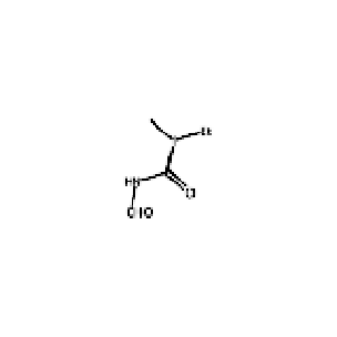 CCI(C)C(=O)NC=O